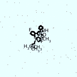 CN(C(=O)N1CC(c2cc(F)ccc2F)=C[C@@]1(CO)c1ccccc1)[C@H]1CCN(CCC[Si](C)(C)C)C[C@@H]1F